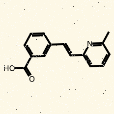 Cc1cccc(C=Cc2cccc(C(=O)O)c2)n1